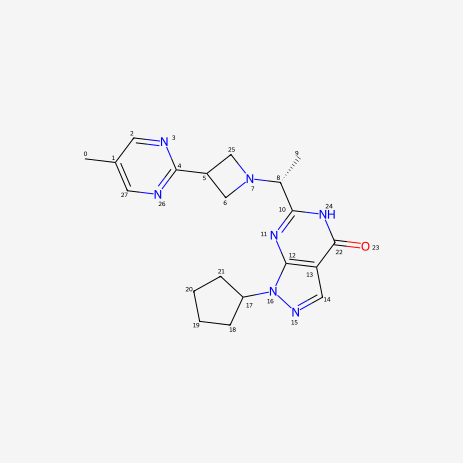 Cc1cnc(C2CN([C@H](C)c3nc4c(cnn4C4CCCC4)c(=O)[nH]3)C2)nc1